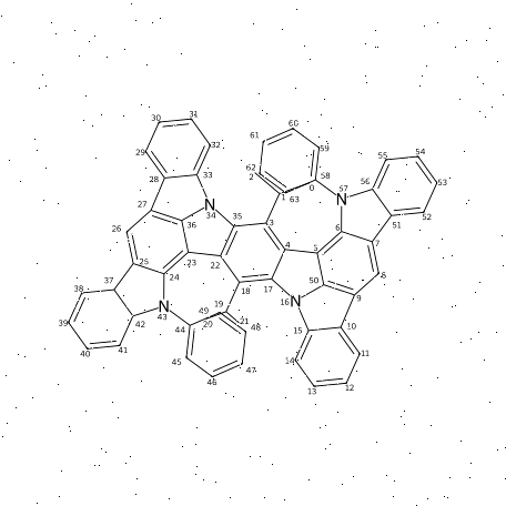 CC(C)c1c2c3c4c(cc5c6ccccc6n(c2c(C(C)C)c2c6c7c(cc8c9ccccc9n(c12)c86)C1C=CC=CC1N7c1ccccc1)c53)c1ccccc1n4-c1ccccc1